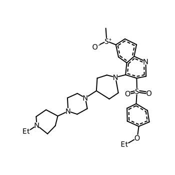 CCOc1ccc(S(=O)(=O)c2cnc3ccc([S+](C)[O-])cc3c2N2CCC(N3CCN(C4CCN(CC)CC4)CC3)CC2)cc1